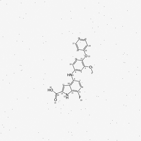 COc1cc(Nc2ccc(F)c3[nH]c(C(=O)O)cc23)ccc1Oc1ccccc1